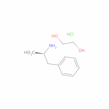 Cl.N[C@@H](Cc1ccccc1)C(=O)O.OCCO